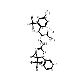 CN(C)[C@H](CNC(=O)C[C@H](c1cccnc1)C1(C(F)(F)F)CC1)Cc1ccc(O)cc1C(F)(F)F